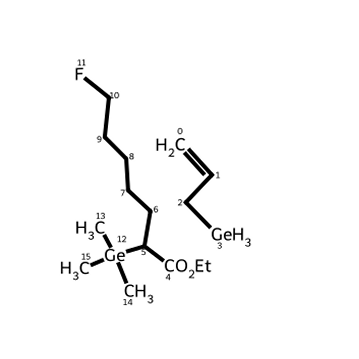 C=C[CH2][GeH3].CCOC(=O)[CH](CCCCCF)[Ge]([CH3])([CH3])[CH3]